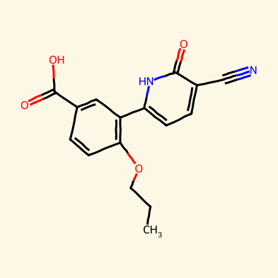 CCCOc1ccc(C(=O)O)cc1-c1ccc(C#N)c(=O)[nH]1